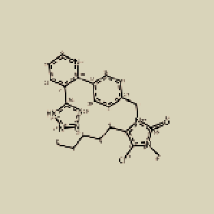 CCCCCc1c(Cl)n(C)c(=O)n1Cc1ccc(-c2ncccc2-c2nnn[nH]2)cc1